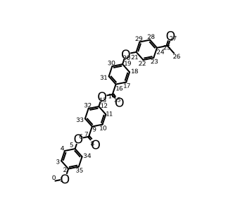 COc1ccc(OC(=O)c2ccc(OC(=O)c3ccc(Oc4ccc(C(C)=O)cc4)cc3)cc2)cc1